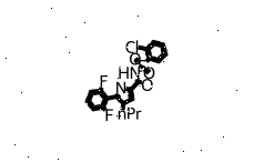 CCCC1C=C(C(=O)NS(=O)(=O)c2ccccc2Cl)N=C1c1c(F)cccc1F